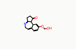 O=C1CCC2=NCC=C3C=CC(OCO)=CC3C12